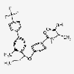 CCCC(Oc1ccc(C(=O)NC(C)C(=O)O)cc1)c1ccc(-c2ccc(C(F)(F)F)cc2)cc1C